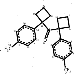 O=C(C1(c2ccc(C(F)(F)F)cc2)CCC1)C1(c2ccc(C(F)(F)F)cc2)CCC1